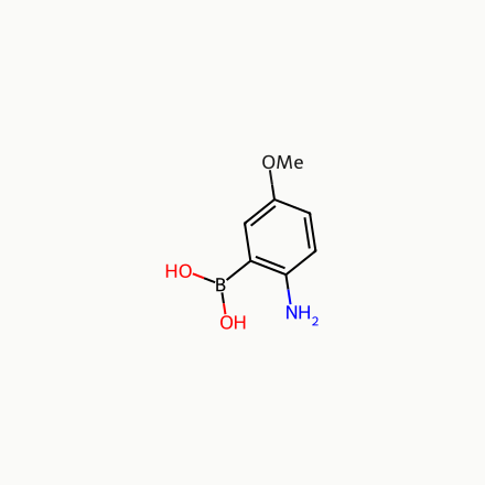 COc1ccc(N)c(B(O)O)c1